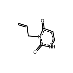 C=CCn1c(=O)cc[nH]c1=O